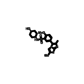 COc1ccc(-c2c(C)nc3sc(C(C)(C)C)cn23)cc1S(=O)(=O)N[C@H]1CC[C@@H](O)CC1